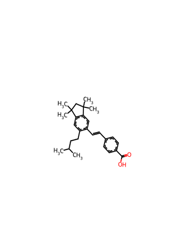 CC(C)CCc1cc2c(cc1/C=C/c1ccc(C(=O)O)cc1)C(C)(C)CC2(C)C